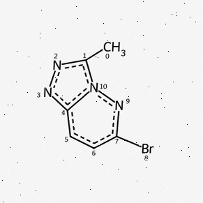 Cc1nnc2ccc(Br)nn12